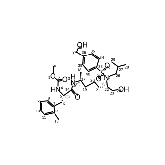 COC(=O)N[C@@H](Cc1ccccc1C)C(=O)N[C@@H](C)CCC[C@@H](CO)N(CC(C)C)S(=O)(=O)c1ccc(CO)cc1